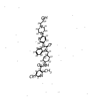 Cc1ncc(Cl)cc1C(=O)NC1CCC(Cn2c(=O)n(-c3ccc(N4CCN(CCO)CC4)nc3)c3ccccc32)CC1